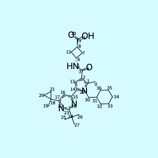 Cc1c(C(=O)N[C@H]2C[C@H](C(=O)O)C2)cc(-c2cc(C3(C)CC3)nc(C(C)(C)C)n2)n1CC1CCCCC1